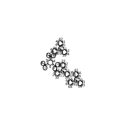 O=C([O-])C1CC(C(=O)[O-])CC(C(=O)[O-])C1.c1ccc([S+](c2ccccc2)c2ccccc2)cc1.c1ccc([S+](c2ccccc2)c2ccccc2)cc1.c1ccc([S+](c2ccccc2)c2ccccc2)cc1